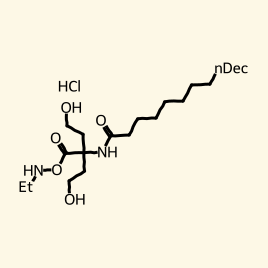 CCCCCCCCCCCCCCCCCC(=O)NC(CCO)(CCO)C(=O)ONCC.Cl